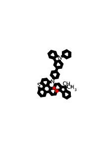 CC1(C)c2ccccc2-c2ccc(N(c3ccc(-c4ccc5c(c4)c4ccccc4n5-c4ccccc4)cc3)c3ccc4sc5cccc6c7ccccc7c3c4c56)cc21